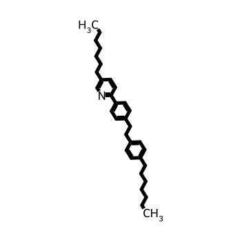 CCCCCCCc1ccc(CCc2ccc(-c3ccc(CCCCCCC)cn3)cc2)cc1